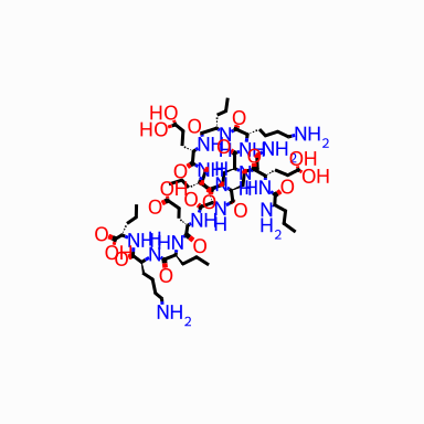 CCC[C@H](NC(=O)[C@H](CCCCN)NC(=O)[C@H](CCC)NC(=O)[C@H](CCC(=O)O)NC(=O)[C@H](CCC)NC(=O)[C@H](CCCCN)NC(=O)[C@H](CCC)NC(=O)[C@H](CCC(O)O)NC(=O)[C@H](CCC)NC(=O)[C@H](CCCCN)NC(=O)[C@H](CCC)NC(=O)[C@H](CCC(O)O)NC(=O)[C@@H](N)CCC)C(=O)O